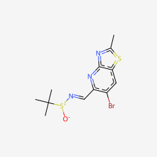 Cc1nc2nc(C=N[S+]([O-])C(C)(C)C)c(Br)cc2s1